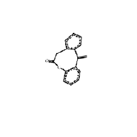 C=C1c2ccccc2CC(=O)Cc2ccccc21